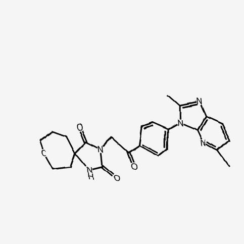 Cc1ccc2nc(C)n(-c3ccc(C(=O)CN4C(=O)NC5(CCCCCC5)C4=O)cc3)c2n1